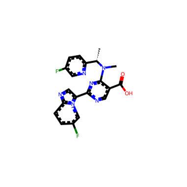 C[C@@H](c1ccc(F)cn1)N(C)c1nc(-c2cnc3ccc(F)cn23)ncc1C(=O)O